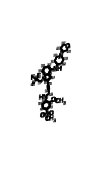 COc1cc(S(C)(=O)=O)ccc1NCC#Cc1cc2c(NC3CCN([C@@H]4CCOC4)CC3)cccc2n1CC(F)(F)F